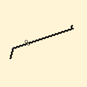 CCCCCC/C=C\CCCCCCCC(=O)OCCCCCCCCCCCCCCCCCCCCCCCCCCC(C)CC